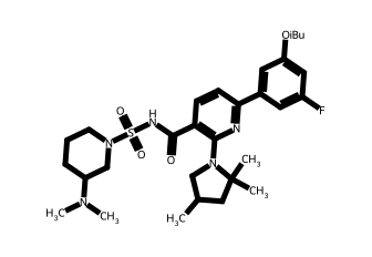 CC(C)COc1cc(F)cc(-c2ccc(C(=O)NS(=O)(=O)N3CCCC(N(C)C)C3)c(N3CC(C)CC3(C)C)n2)c1